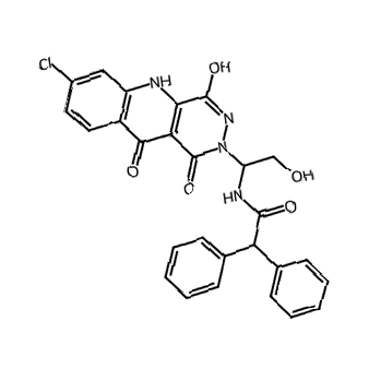 O=C(NC(CO)n1nc(O)c2[nH]c3cc(Cl)ccc3c(=O)c2c1=O)C(c1ccccc1)c1ccccc1